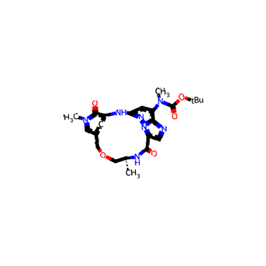 C[C@@H]1COCc2cc(c(=O)n(C)c2)Nc2cc(N(C)C(=O)OC(C)(C)C)c3ncc(n3n2)C(=O)N1